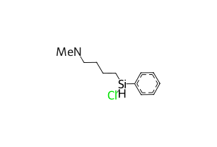 CNCCCC[SiH](Cl)c1ccccc1